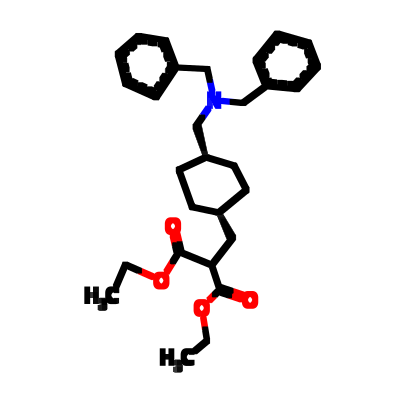 CCOC(=O)C(C[C@H]1CC[C@@H](CN(Cc2ccccc2)Cc2ccccc2)CC1)C(=O)OCC